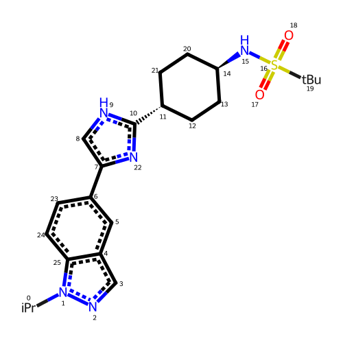 CC(C)n1ncc2cc(-c3c[nH]c([C@H]4CC[C@H](NS(=O)(=O)C(C)(C)C)CC4)n3)ccc21